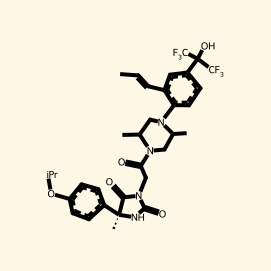 CC=Cc1cc(C(O)(C(F)(F)F)C(F)(F)F)ccc1N1CC(C)N(C(=O)CN2C(=O)N[C@@](C)(c3ccc(OC(C)C)cc3)C2=O)CC1C